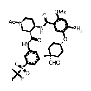 COc1cc(P)c(O[C@H]2CC[C@@](C)(C=O)CC2)cc1C(=O)N[C@@H]1CCN(C(C)=O)C[C@@H]1C(=O)Nc1cccc(S(=O)(=O)C(C)(F)I)c1